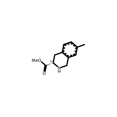 COC(=O)[C@@H]1Cc2ccc(C)cc2CN1